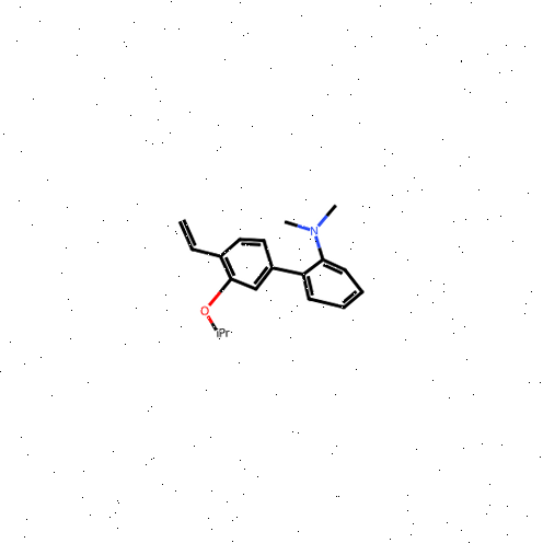 C=Cc1ccc(-c2ccccc2N(C)C)cc1OC(C)C